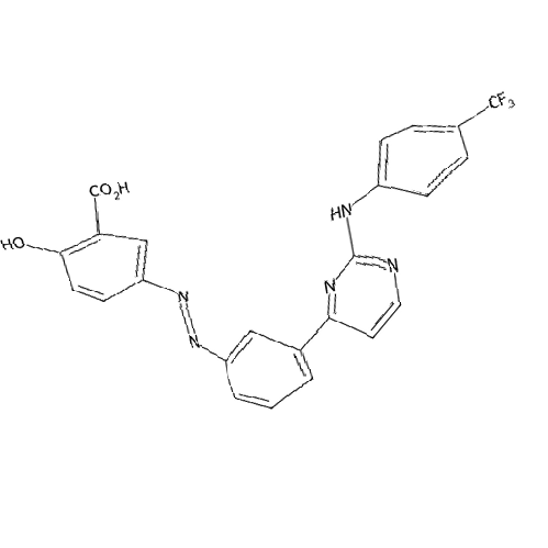 O=C(O)c1cc(/N=N/c2cccc(-c3ccnc(Nc4ccc(C(F)(F)F)cc4)n3)c2)ccc1O